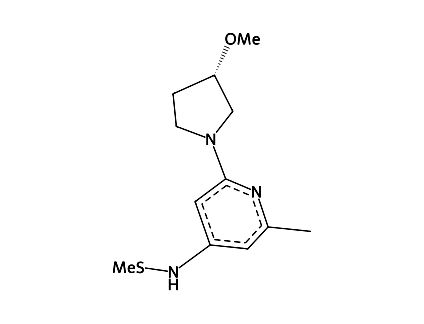 CO[C@H]1CCN(c2cc(NSC)cc(C)n2)C1